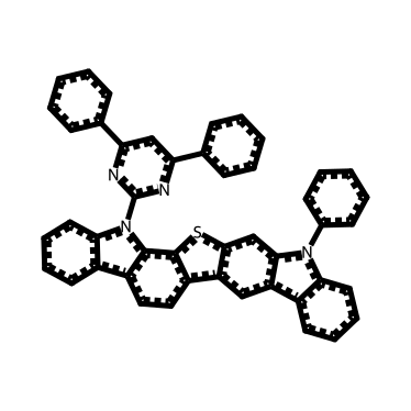 c1ccc(-c2cc(-c3ccccc3)nc(-n3c4ccccc4c4ccc5c6cc7c8ccccc8n(-c8ccccc8)c7cc6sc5c43)n2)cc1